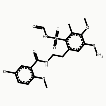 COc1ccc(Cl)cc1C(=O)NCCc1cc(SN)c(OC)c(C)c1S(=O)(=O)NC=O